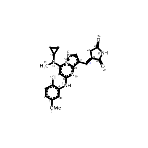 COc1ccc(Cl)c(Nc2cc(N(C)C3CC3)n3ncc(/C=C4\CC(=O)NC4=O)c3n2)c1